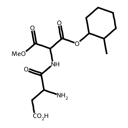 COC(=O)C(NC(=O)C(N)CC(=O)O)C(=O)OC1CCCCC1C